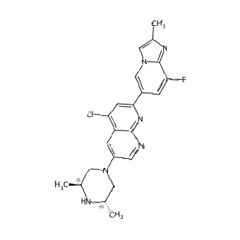 Cc1cn2cc(-c3cc(Cl)c4cc(N5C[C@H](C)N[C@@H](C)C5)cnc4n3)cc(F)c2n1